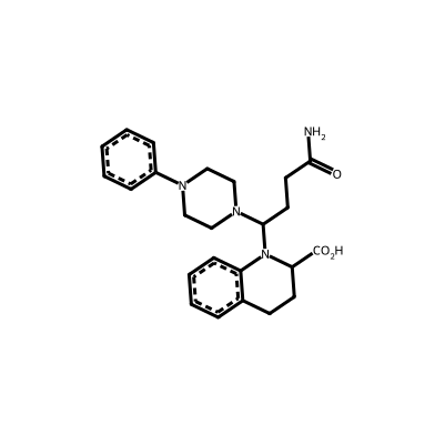 NC(=O)CCC(N1CCN(c2ccccc2)CC1)N1c2ccccc2CCC1C(=O)O